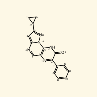 O=c1[nH]c2c(cnc3cc(C4CC4)nn32)nc1-c1ccccc1